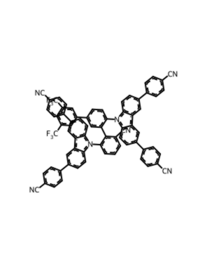 N#Cc1ccc(-c2ccc3c(c2)c2cc(-c4ccc(C#N)cc4)ccc2n3-c2ccc(-c3cc(C(F)(F)F)cc(C(F)(F)F)c3)cc2-c2c(C#N)cccc2-n2c3ccc(-c4ccc(C#N)cc4)cc3c3cc(-c4ccc(C#N)cc4)ccc32)cc1